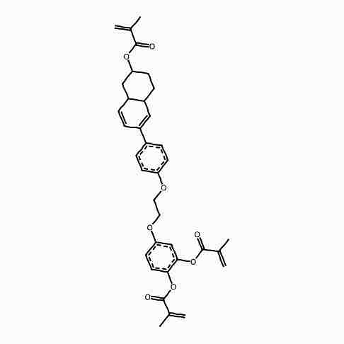 C=C(C)C(=O)Oc1ccc(OCCOc2ccc(C3=CC4CCC(OC(=O)C(=C)C)CC4C=C3)cc2)cc1OC(=O)C(=C)C